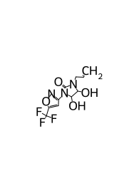 C=CCN1C(=O)N(c2cc(C(F)(F)F)on2)C(O)C1O